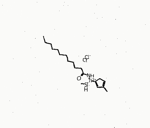 CCCCCCCCCCCC(=O)[NH][Ti+2]([C]1=CC(C)=CC1)[SiH](C)C.[Cl-].[Cl-]